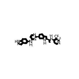 C=C(Nc1ccnnc1C(F)(F)F)c1cc2ccc(-c3nccc(Nc4ccc5[nH]ncc5c4)n3)cc2[nH]1